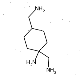 NCC1CCC(N)(CN)CC1